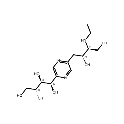 CCN[C@@H](CO)[C@H](O)Cc1cnc([C@@H](O)[C@H](O)[C@H](O)CO)cn1